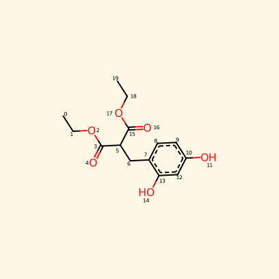 CCOC(=O)C(Cc1ccc(O)cc1O)C(=O)OCC